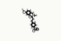 COc1ccc(CN(C)C(=O)CCc2ccc([N+](=O)[O-])cc2)cc1